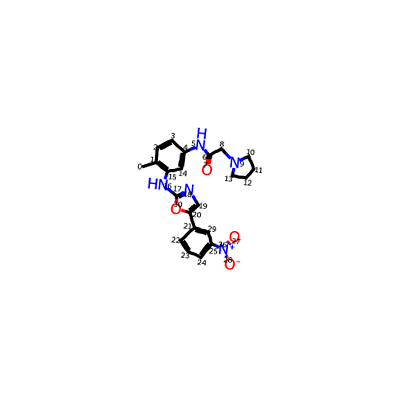 Cc1ccc(NC(=O)CN2CCCC2)cc1Nc1ncc(-c2cccc([N+](=O)[O-])c2)o1